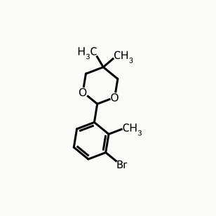 Cc1c(Br)cccc1C1OCC(C)(C)CO1